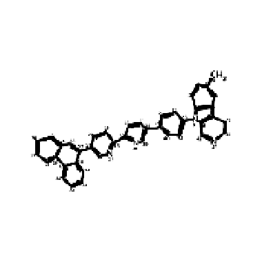 Cc1ccc2c(c1)c1c(n2-c2ccc(-c3ccc(-c4ccc(-c5cc6ccccc6c6ccccc56)cn4)nc3)cc2)C=NCC1